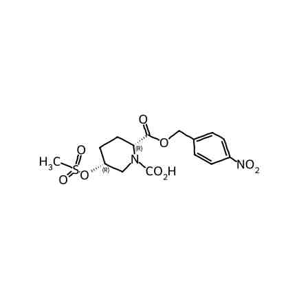 CS(=O)(=O)O[C@@H]1CC[C@H](C(=O)OCc2ccc([N+](=O)[O-])cc2)N(C(=O)O)C1